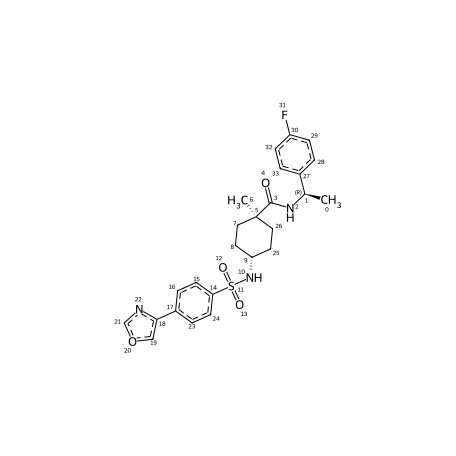 C[C@@H](NC(=O)[C@]1(C)CC[C@@H](NS(=O)(=O)c2ccc(-c3cocn3)cc2)CC1)c1ccc(F)cc1